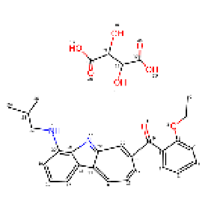 CCOc1ccccc1C(=O)c1cccc2c3cccc(NCC(C)C)c3nc-2c1.O=C(O)C(O)C(O)C(=O)O